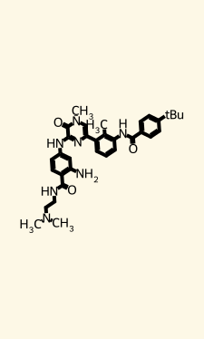 Cc1c(NC(=O)c2ccc(C(C)(C)C)cc2)cccc1-c1cn(C)c(=O)c(Nc2ccc(C(=O)NCCN(C)C)c(N)c2)n1